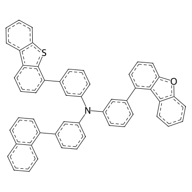 c1cc(-c2cccc3ccccc23)cc(N(c2cccc(-c3cccc4c3sc3ccccc34)c2)c2cccc(-c3cccc4oc5ccccc5c34)c2)c1